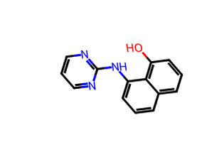 Oc1cccc2cccc(Nc3ncccn3)c12